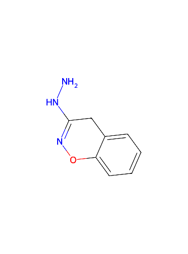 NNC1=NOc2ccccc2C1